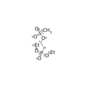 CCOP(=O)(CCOS(C)(=O)=O)OCC